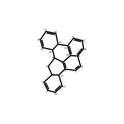 C1=CC2CC3c4c(ccc5cccc(c45)C4C=CC=CC43)C2C=C1